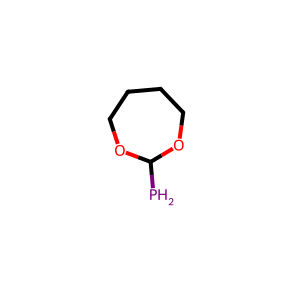 PC1OCCCCO1